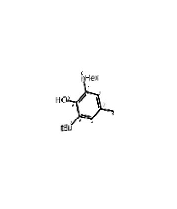 CCCCCCc1cc(C)cc(C(C)(C)C)c1O